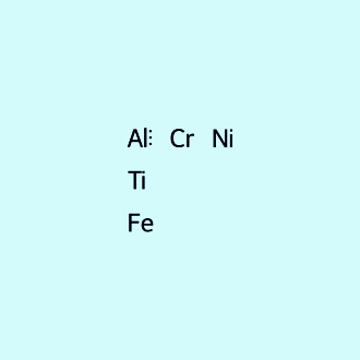 [Al].[Cr].[Fe].[Ni].[Ti]